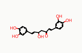 O=C(/C=C/c1ccc(O)c(O)c1)CC(O)/C=C/c1ccc(O)c(O)c1